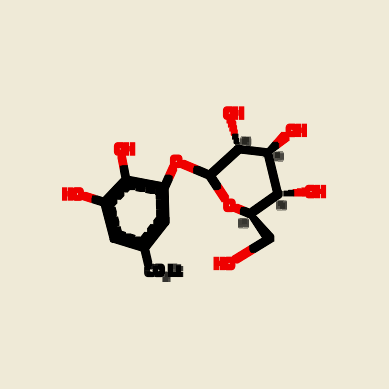 CCOC(=O)c1cc(O)c(O)c(OC2O[C@H](CO)[C@@H](O)[C@H](O)[C@H]2O)c1